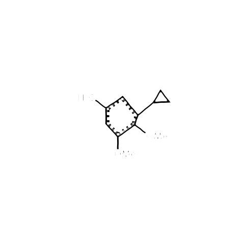 COc1cc(C)cc(C2CC2)c1OC